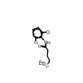 CCOC(=O)CCCC(=O)Nc1c(Cl)cccc1Cl